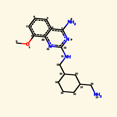 COc1cccc2c(N)nc(NCC3CCCC(CN)C3)nc12